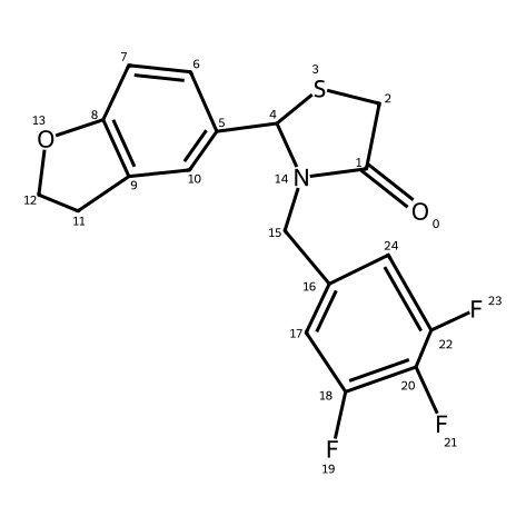 O=C1CSC(c2ccc3c(c2)CCO3)N1Cc1cc(F)c(F)c(F)c1